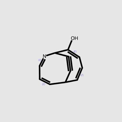 O/C1=C/C=C\C2C#CC1/N=C\C=C/2